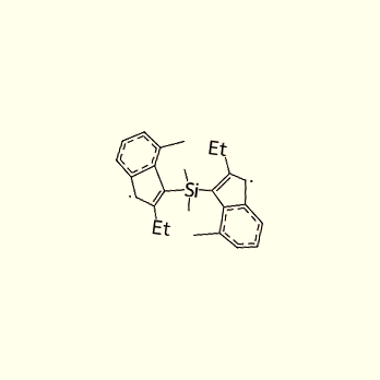 CCC1=C([Si](C)(C)C2=C(CC)[CH]c3cccc(C)c32)c2c(C)cccc2[CH]1